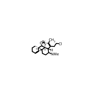 CNC1CCC(=O)[C@@]2([C@@H](O)[C@@H]3C=CCCC3)[C@@H]1C(CCCl)=C(C)[S+]2[O-]